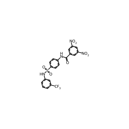 O=C(Nc1ccc(S(=O)(=O)Nc2cccc(C(F)(F)F)c2)cc1)c1cc([N+](=O)[O-])cc([N+](=O)[O-])c1